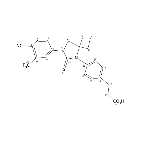 N#Cc1ccc(N2CC3(CCC3)N(c3ccc(CCC(=O)O)cc3)C2=S)cc1C(F)(F)F